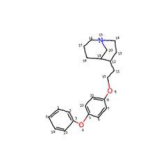 c1ccc(Oc2ccc(OCCC3CCN4CCCC3C4)cc2)cc1